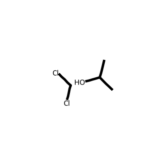 CC(C)O.ClCCl